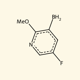 Bc1cc(F)cnc1OC